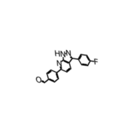 O=Cc1ccc(-c2ccc3c(-c4ccc(F)cc4)n[nH]c3n2)cc1